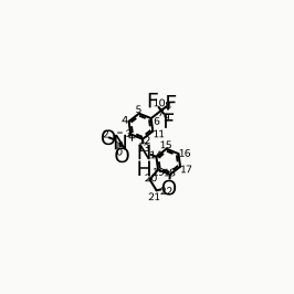 O=[N+]([O-])c1ccc(C(F)(F)F)cc1Nc1cccc2c1CCO2